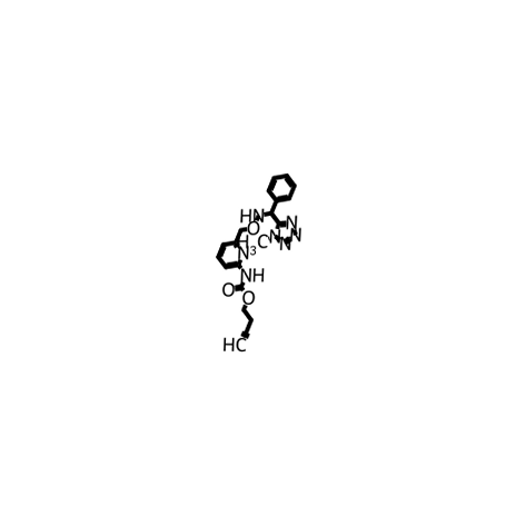 C#CCCOC(=O)Nc1cccc(CONC(c2ccccc2)c2nnnn2C)n1